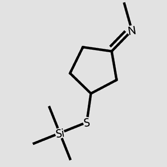 C/N=C1\CCC(S[Si](C)(C)C)C1